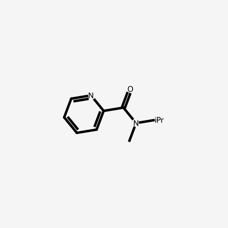 CC(C)N(C)C(=O)c1ccccn1